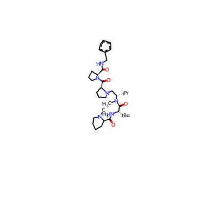 CC(C)[C@@H](CN1CCC[C@H]1C(=O)N1CCC[C@H]1C(=O)NCc1ccccc1)N(C)C(=O)[C@@H](NC(=O)[C@H]1CCCCN1C)C(C)(C)C